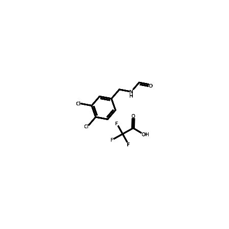 O=C(O)C(F)(F)F.O=CNCc1ccc(Cl)c(Cl)c1